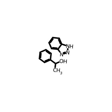 CC(O)c1ccccc1.c1ccc2[nH]nnc2c1